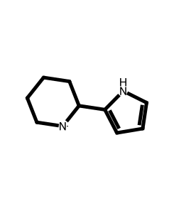 c1c[nH]c(C2CCCC[N]2)c1